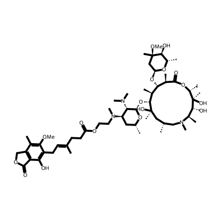 COc1c(C)c2c(c(O)c1C/C=C(\C)CCC(=O)OCCN(C)[C@@H]1C[C@@H](C)O[C@@H](O[C@@H]3[C@@H](C)[C@H](O[C@H]4C[C@@](C)(OC)[C@@H](O)[C@H](C)O4)[C@@H](C)C(=O)O[C@H](I)[C@@](C)(O)[C@H](O)[C@@H](C)N(C)C[C@H](C)C[C@@]3(C)O)[C@H]1N(C)C)C(=O)OC2